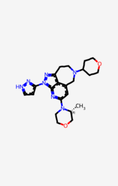 C[C@@H]1COCCN1c1cc2c3c(nn(-c4cc[nH]n4)c3n1)CCN(C1CCOCC1)C2